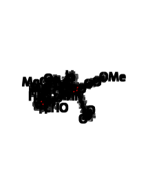 CC[C@H](C)[C@@H]([C@@H](CC(=O)N1CCC[C@H]1[C@H](OC)[C@@H](C)C(=O)N[C@@H](Cc1ccccc1)C(=O)Nc1ccc(CNCCCCCCN2C(=O)C=CC2=O)cc1)OC)N(C)C(=O)[C@@H](NC(=O)[C@@H]1[C@H]2CC[C@@H]([C@H]2C)N1C(C=O)COCCOCCOCCOCCOCCOCCOCCOC)C(C)C